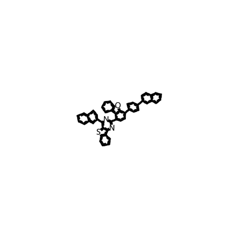 c1ccc2cc(-c3ccc(-c4ccc(-c5nc(-c6ccc7ccccc7c6)c6sc7ccccc7c6n5)c5c4oc4ccccc45)cc3)ccc2c1